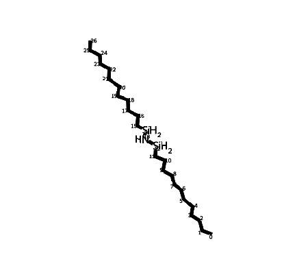 CCCCCCCCCCCC[SiH2]N[SiH2]CCCCCCCCCCCC